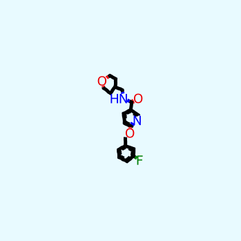 O=C(NCC1CCOCC1)c1ccc(OCc2cccc(F)c2)nc1